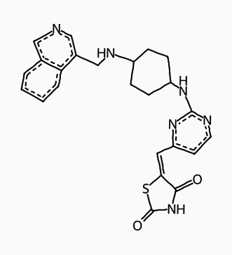 O=C1NC(=O)/C(=C\c2ccnc(NC3CCC(NCc4cncc5ccccc45)CC3)n2)S1